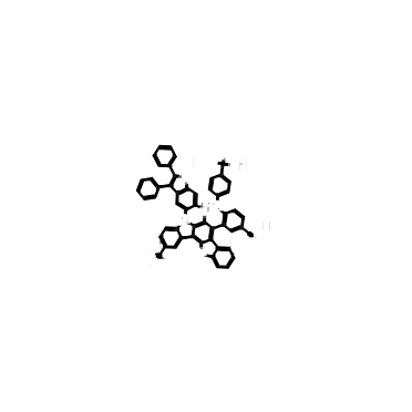 CC(C)(C)c1ccc(Nc2ccc(C(C)(C)C)cc2-c2c3c4c(c5cc(C(C)(C)C)ccc5n4-c4cc5c(-c6ccccc6)c(-c6ccccc6)oc5cc4B3)c3sc4ccccc4c23)cc1